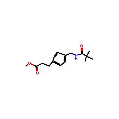 COC(=O)CCc1ccc(CNC(=O)C(C)(C)C)cc1